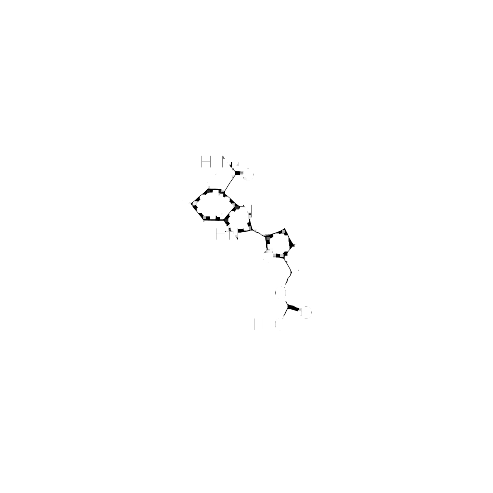 CC(=O)OCc1ccc(-c2nc3c(C(N)=O)cccc3[nH]2)o1